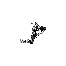 COC[C@H]1CN(c2cc(C)c3c4c(c(=O)oc3c2C)CN(C(=O)c2ccc(C(=O)NS(=O)(=O)N3CCCC3)c(OCCC(F)(F)F)c2F)CC4)CCN1C